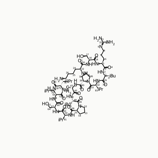 CC[C@H](C)[C@H](NC(=O)[C@H](CCCN=C(N)N)NC(=O)[C@H](CO)NC(=O)[C@@H](N)CCCCN)C(=O)N[C@H](C(=O)N1CCC[C@H]1C(=O)N[C@@H](C)C(=O)N[C@H](C(=O)N1CCC[C@H]1C(=O)N[C@H](C(=O)N[C@@H](CO)C(=O)N[C@@H](CC(C)C)C(=O)N[C@@H](CC(C)C)C(N)=O)C(C)C)[C@@H](C)CC)C(C)C